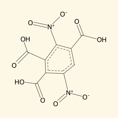 O=C(O)c1cc([N+](=O)[O-])c(C(=O)O)c(C(=O)O)c1[N+](=O)[O-]